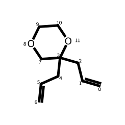 C=CCC1(CC=C)COCCO1